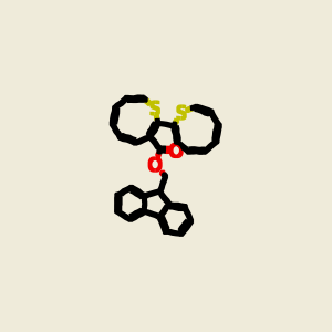 O=C(OCC1c2ccccc2-c2ccccc21)c1ccccccsc1-c1cccccccs1